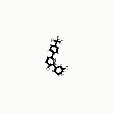 O=C1C=CC(c2ccc(C(F)(F)F)cc2)=NC1c1cccc(F)c1